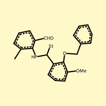 CCC(Pc1c(C)cccc1C=O)c1cccc(OC)c1OCc1ccccc1